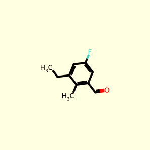 CCc1cc(F)cc(C=O)c1C